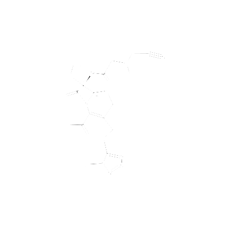 CO[C@@]1(NC(=O)C[S+]([O-])CC#N)C(=O)N2C(C(=O)O)=C(CSc3nnnn3C)CS[C@@H]21